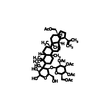 C=C(C)[C@@H]1CC[C@]2(COC(C)=O)CC[C@]3(C)[C@H](CCC4[C@@]5(C)CCC([C@@]6(O)[C@H](O[C@@H]7O[C@H](COC(C)=O)[C@@H](OC(C)=O)[C@H](OC(C)=O)[C@H]7OC(C)=O)[C@@H](CO)O[C@@H](O)[C@@H]6O)C(C)(C)[C@@H]5CC[C@]43C)[C@@H]12